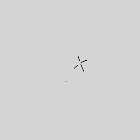 O[Si](O)(O)O.[Li+].[Li+].[Mg+2].[Na+]